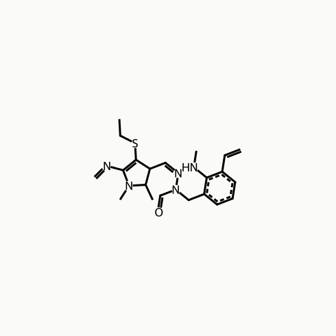 C=Cc1cccc(CN(C=O)/N=C\C2C(SCC)=C(N=C)N(C)C2C)c1NC